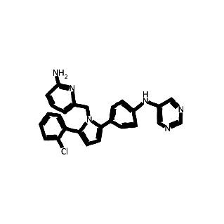 Nc1cccc(Cn2c(-c3ccc(Nc4cncnc4)cc3)ccc2-c2ccccc2Cl)n1